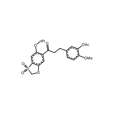 CCCOc1cc2c(cc1C(=O)CCc1ccc(OC)c(OC(C)=O)c1)OCS2(=O)=O